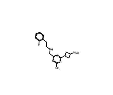 CNC1CN(c2cc(CNCCc3ccccc3Cl)nc(N)n2)C1